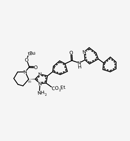 CCOC(=O)c1c(-c2ccc(C(=O)Nc3cc(-c4ccccc4)ccn3)cc2)nc([C@@H]2CCCCN2C(=O)OC(C)(C)C)n1N